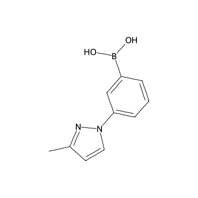 Cc1ccn(-c2cccc(B(O)O)c2)n1